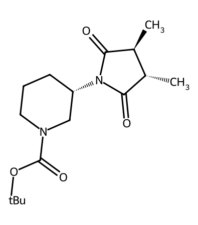 C[C@@H]1C(=O)N([C@H]2CCCN(C(=O)OC(C)(C)C)C2)C(=O)[C@H]1C